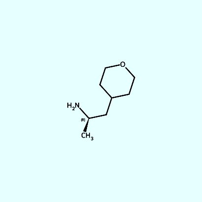 C[C@@H](N)CC1CCOCC1